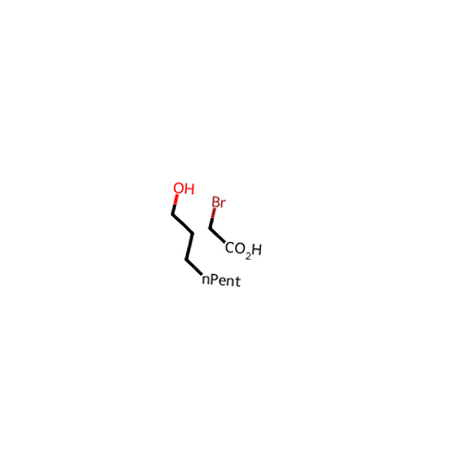 CCCCCCCCO.O=C(O)CBr